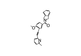 COc1ccc(C(=O)N2Cc3ccccc3C2)cc1C#Cc1cccc(C)n1